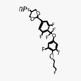 CCCC1COC(c2cc(F)c(C(F)(F)Oc3cc(F)c(OCCCF)c(F)c3)c(F)c2)OC1